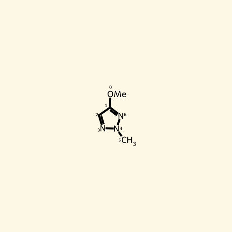 COc1[c]nn(C)n1